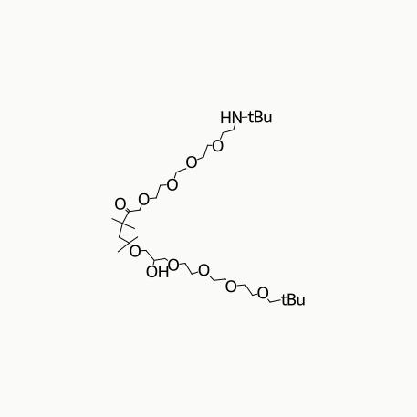 CC(C)(C)COCCOCCOCCOCC(O)COC(C)(C)CC(C)(C)C(=O)COCCOCCOCCOCCNC(C)(C)C